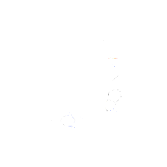 CCCc1cnc(N2CCC(Oc3nc4ccc(C5=CCN(S(=O)(=O)CCC(F)(F)F)CC5)cc4s3)CC2)nc1